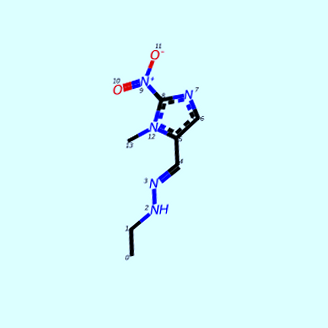 CCNN=Cc1cnc([N+](=O)[O-])n1C